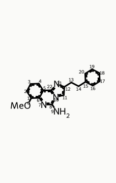 COc1cccc2c1nc(N)n1cc(CCc3ccccc3)nc21